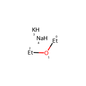 CCOCC.[KH].[NaH]